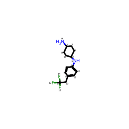 NC1CCC(Nc2ccc(CC(F)(F)F)cc2)CC1